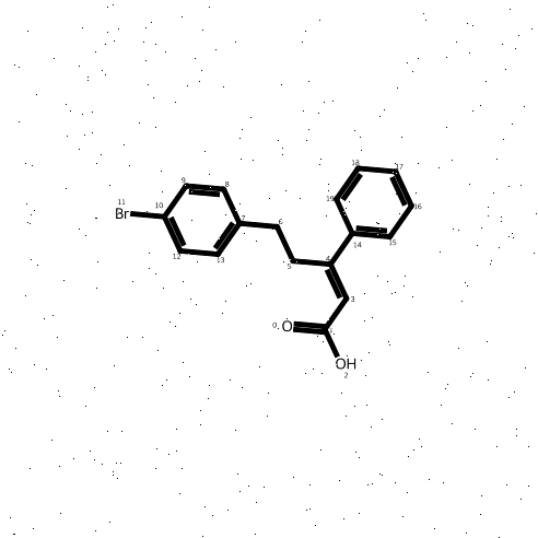 O=C(O)/C=C(\CCc1ccc(Br)cc1)c1ccccc1